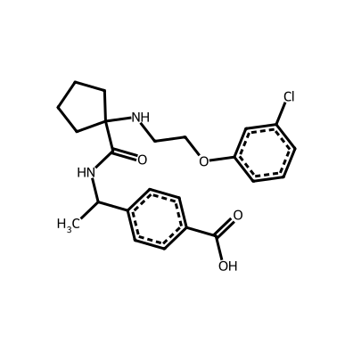 CC(NC(=O)C1(NCCOc2cccc(Cl)c2)CCCC1)c1ccc(C(=O)O)cc1